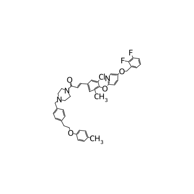 Cc1ccc(OCCc2ccc(CN3CCN(C(=O)C=Cc4cc(C)c(Oc5ccc(OCc6cccc(F)c6F)cn5)c(Cl)c4)CC3)cc2)cc1